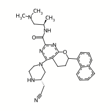 C[C@H](CN(C)C)NC(=O)c1nc2c(c(N3CCN[C@@H](CC#N)C3)n1)CCC(c1cccc3ccccc13)O2